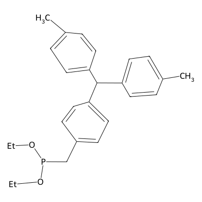 CCOP(Cc1ccc(C(c2ccc(C)cc2)c2ccc(C)cc2)cc1)OCC